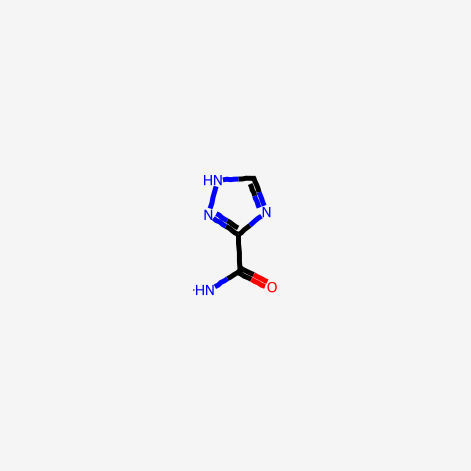 [NH]C(=O)c1nc[nH]n1